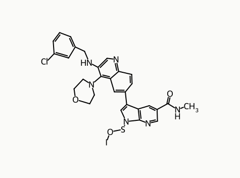 CNC(=O)c1cnc2c(c1)c(-c1ccc3ncc(NCc4cccc(Cl)c4)c(N4CCOCC4)c3c1)cn2SOI